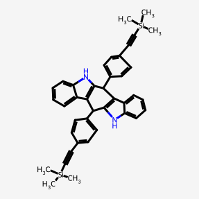 C[Si](C)(C)C#Cc1ccc(C2c3[nH]c4ccccc4c3C(c3ccc(C#C[Si](C)(C)C)cc3)c3[nH]c4ccccc4c32)cc1